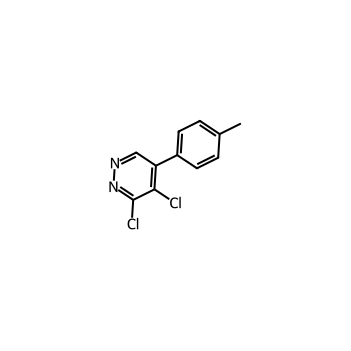 Cc1ccc(-c2cnnc(Cl)c2Cl)cc1